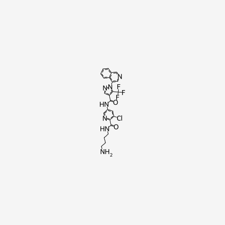 NCCCCNC(=O)c1ncc(NC(=O)c2cnn(-c3cncc4ccccc34)c2C(F)(F)F)cc1Cl